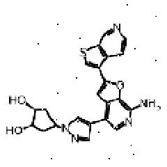 Nc1ncc(-c2cnn(C3C[C@@H](O)[C@@H](O)C3)c2)c2cc(-c3csc4cnccc34)oc12